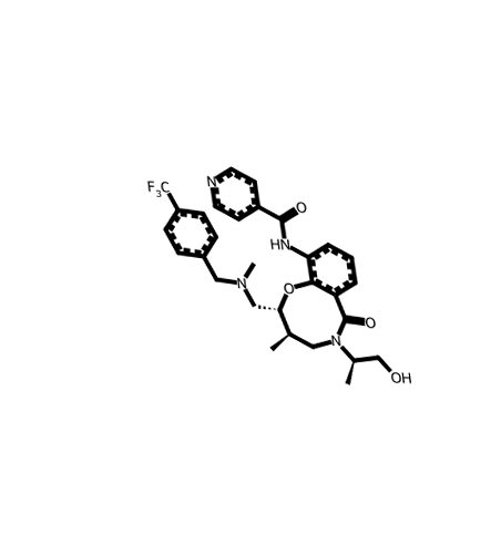 C[C@@H]1CN([C@H](C)CO)C(=O)c2cccc(NC(=O)c3ccncc3)c2O[C@H]1CN(C)Cc1ccc(C(F)(F)F)cc1